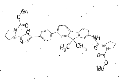 CC(C)(C)OC(=O)N1CCC[C@H]1C(=O)Nc1ccc2c(c1)C(C)(C)c1cc(-c3ccc(-c4cnc([C@@H]5CCCN5C(=O)OC(C)(C)C)[nH]4)cc3)ccc1-2